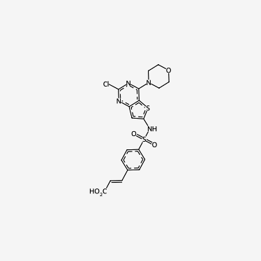 O=C(O)C=Cc1ccc(S(=O)(=O)Nc2cc3nc(Cl)nc(N4CCOCC4)c3s2)cc1